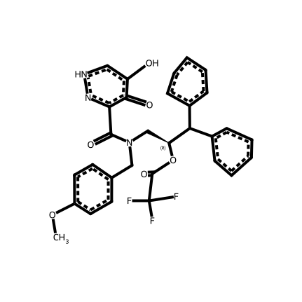 COc1ccc(CN(C[C@H](OC(=O)C(F)(F)F)C(c2ccccc2)c2ccccc2)C(=O)c2n[nH]cc(O)c2=O)cc1